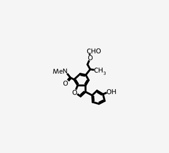 CNC(=O)c1cc(C(C)COC=O)cc2c(-c3cccc(O)c3)coc12